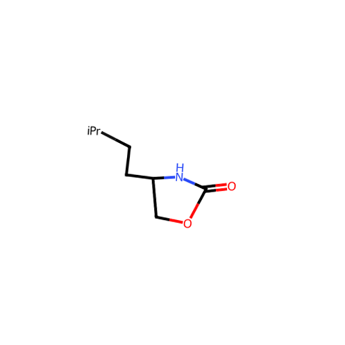 CC(C)CCC1COC(=O)N1